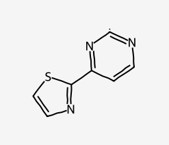 [c]1nccc(-c2nccs2)n1